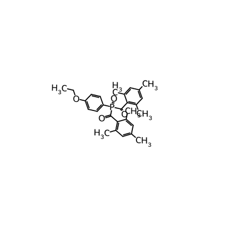 CCOc1ccc(P(=O)(C(=O)c2c(C)cc(C)cc2C)C(=O)c2c(C)cc(C)cc2C)cc1